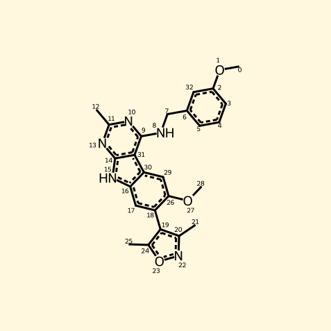 COc1cccc(CNc2nc(C)nc3[nH]c4cc(-c5c(C)noc5C)c(OC)cc4c23)c1